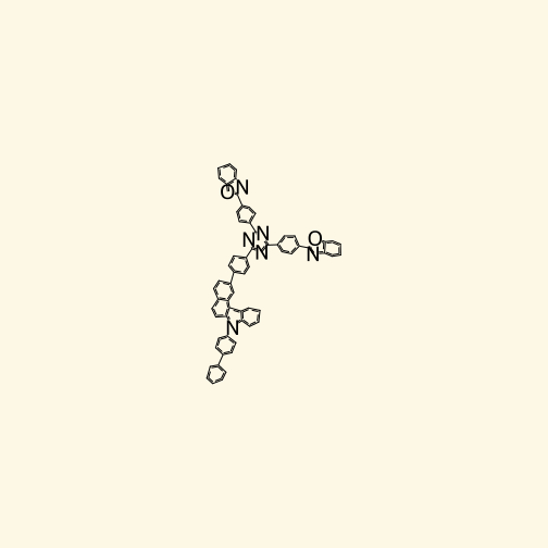 c1ccc(-c2ccc(-n3c4ccccc4c4c5cc(-c6ccc(-c7nc(-c8ccc(-c9nc%10ccccc%10o9)cc8)nc(-c8ccc(-c9nc%10ccccc%10o9)cc8)n7)cc6)ccc5ccc43)cc2)cc1